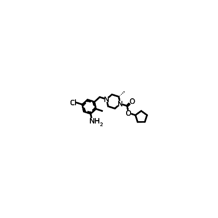 Cc1c(N)cc(Cl)cc1CN1CCN(C(=O)OC2CCCC2)[C@@H](C)C1